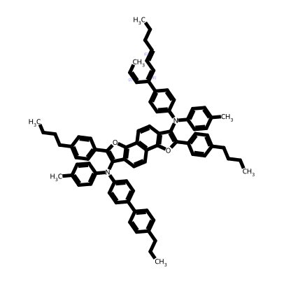 C\C=C/C(=C\C=C\CCC)c1ccc(N(c2ccc(C)cc2)c2c(-c3ccc(CCCC)cc3)oc3c2ccc2c3ccc3c(N(c4ccc(C)cc4)c4ccc(-c5ccc(CCC)cc5)cc4)c(-c4ccc(CCCC)cc4)oc32)cc1